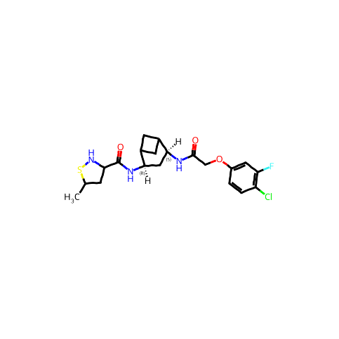 CC1CC(C(=O)N[C@@H]2C[C@H](NC(=O)COc3ccc(Cl)c(F)c3)C3CC2C3)NS1